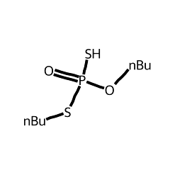 CCCCOP(=O)(S)SCCCC